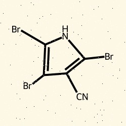 N#Cc1c(Br)[nH]c(Br)c1Br